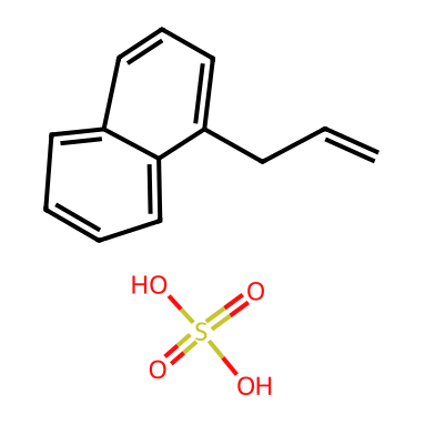 C=CCc1cccc2ccccc12.O=S(=O)(O)O